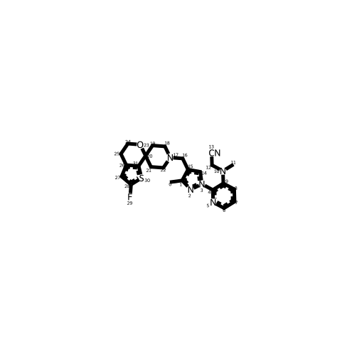 Cc1nn(-c2ncccc2N(C)CC#N)cc1CN1CCC2(CC1)OCCc1cc(F)sc12